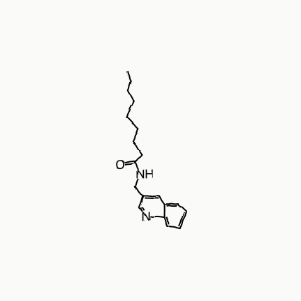 CCCCCCCCC(=O)NCc1cnc2ccccc2c1